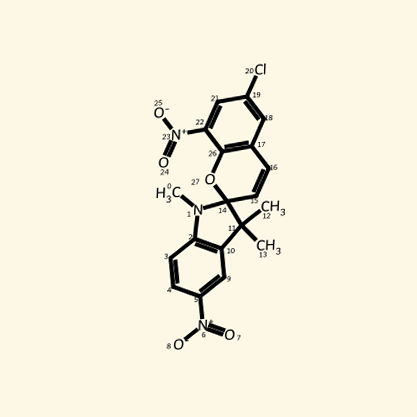 CN1c2ccc([N+](=O)[O-])cc2C(C)(C)C12C=Cc1cc(Cl)cc([N+](=O)[O-])c1O2